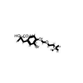 C[C@@](O)(Cc1ccc(OCOCC[Si](C)(C)C)c(Br)c1)C(=O)O